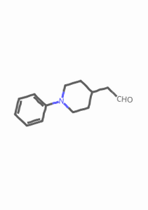 O=CCC1CCN(c2ccccc2)CC1